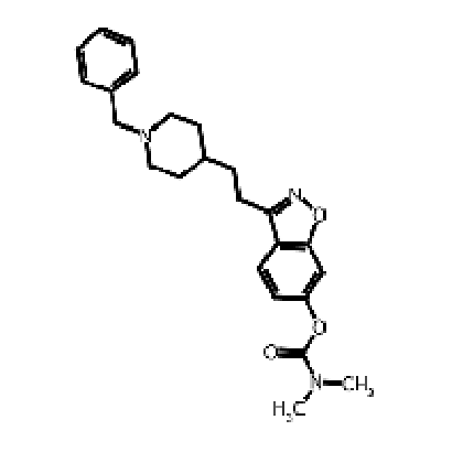 CN(C)C(=O)Oc1ccc2c(CCC3CCN(Cc4ccccc4)CC3)noc2c1